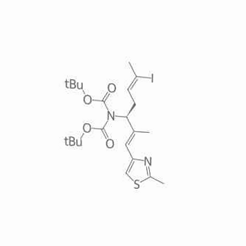 C/C(I)=C/C[C@@H](/C(C)=C/c1csc(C)n1)N(C(=O)OC(C)(C)C)C(=O)OC(C)(C)C